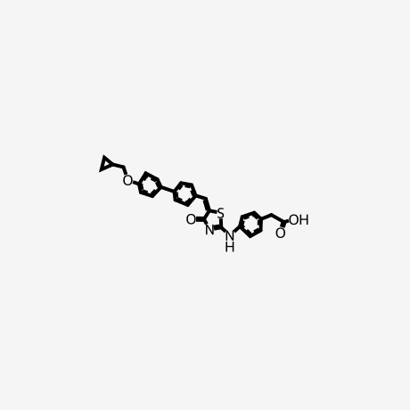 O=C(O)Cc1ccc(NC2=NC(=O)/C(=C\c3ccc(-c4ccc(OCC5CC5)cc4)cc3)S2)cc1